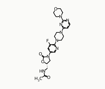 CC(=O)NC[C@H]1CN(c2cnc(N3CCN(c4ccnc(N5CCOCC5)n4)CC3)c(F)c2)C(=O)O1